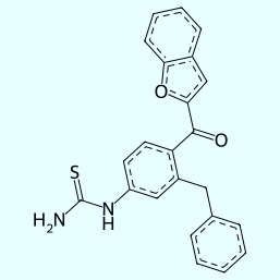 NC(=S)Nc1ccc(C(=O)c2cc3ccccc3o2)c(Cc2ccccc2)c1